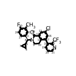 Cc1cc([C@H](C2CC2)N2CCc3c(cc(Cl)cc3-c3cccnc3C(F)(F)F)C2=O)ccc1F